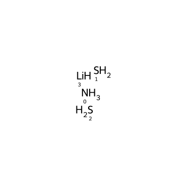 N.S.S.[LiH]